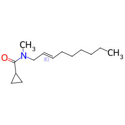 CCCCCC/C=C/CN(C)C(=O)C1CC1